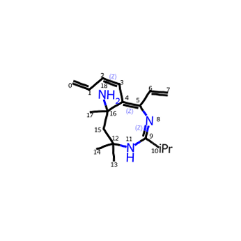 C=C\C=C/C1=C(C=C)/N=C(/C(C)C)NC(C)(C)CC1(C)N